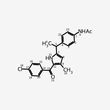 CC(=O)Nc1ccc(C(C)c2cc(C)c(C(=O)c3ccc(Cl)cc3)[nH]2)cc1